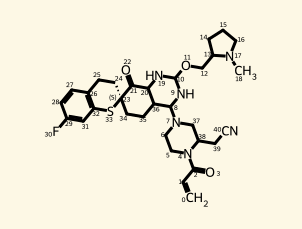 C=CC(=O)N1CCN(C2NC(OCC3CCCN3C)NC3C(=O)[C@@]4(CCc5ccc(F)cc5S4)CCC32)CC1CC#N